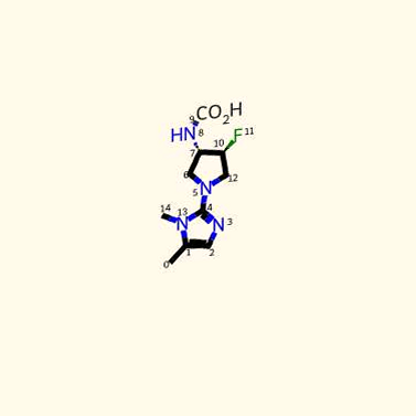 Cc1cnc(N2C[C@H](NC(=O)O)[C@@H](F)C2)n1C